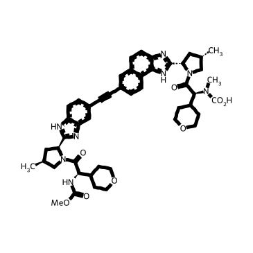 COC(=O)N[C@H](C(=O)N1C[C@@H](C)C[C@H]1c1nc2cc(C#Cc3ccc4c(ccc5nc([C@@H]6C[C@H](C)CN6C(=O)[C@H](C6CCOCC6)N(C)C(=O)O)[nH]c54)c3)ccc2[nH]1)C1CCOCC1